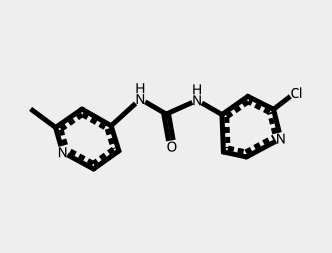 Cc1cc(NC(=O)Nc2ccnc(Cl)c2)ccn1